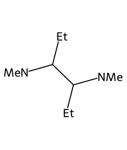 CCC(NC)C(CC)NC